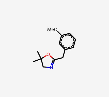 COc1cccc(CC2=NCC(C)(C)O2)c1